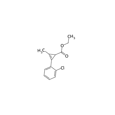 CCOC(=O)C1C(C)=C1c1ccccc1Cl